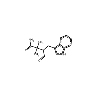 CC(C)(C(N)=O)C(C=O)Cc1c[nH]c2ccccc12